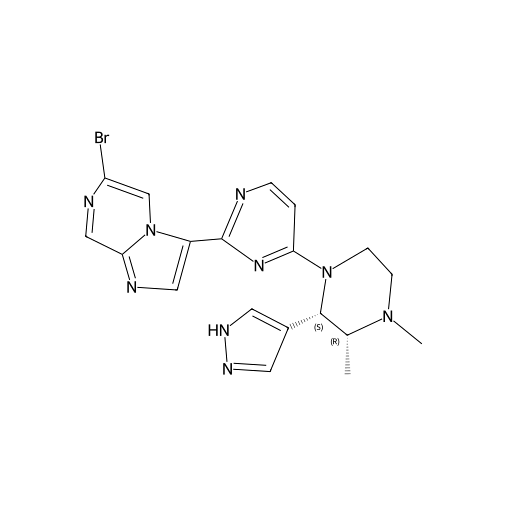 C[C@@H]1[C@H](c2cn[nH]c2)N(c2ccnc(-c3cnc4cnc(Br)cn34)n2)CCN1C